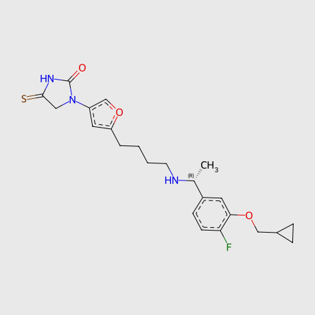 C[C@@H](NCCCCc1cc(N2CC(=S)NC2=O)co1)c1ccc(F)c(OCC2CC2)c1